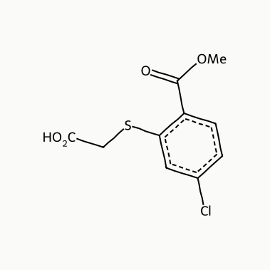 COC(=O)c1ccc(Cl)cc1SCC(=O)O